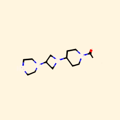 CC(=O)N1CCC(N2CC(N3CCNCC3)C2)CC1